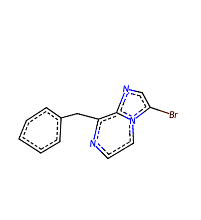 Brc1cnc2c(Cc3ccccc3)nccn12